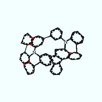 c1ccc(-c2ccccc2N(c2cccc(-c3cccc(N(c4ccccc4-c4ccccc4)c4ccccc4-c4ccccc4)c3)c2)c2ccc3c(c2)oc2ccccc23)cc1